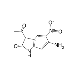 CC(=O)C1C(=O)Nc2cc(N)c([N+](=O)[O-])cc21